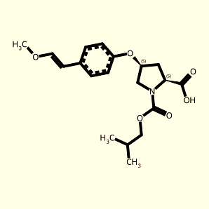 COC=Cc1ccc(O[C@H]2C[C@@H](C(=O)O)N(C(=O)OCC(C)C)C2)cc1